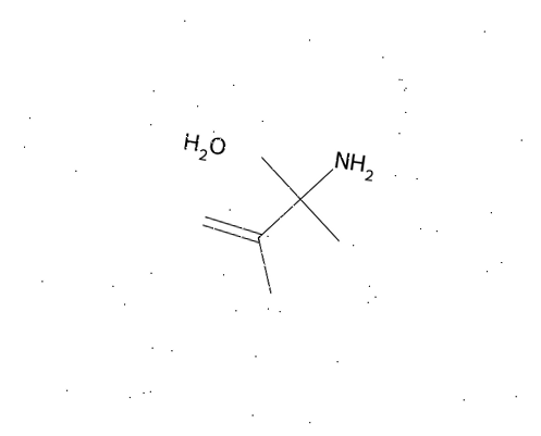 C=C(C)C(C)(C)N.O